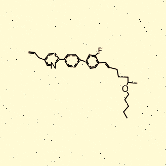 C=CCc1ccc(-c2ccc(-c3ccc(/C=C/CCCC(C)OCCCCC)c(F)c3)cc2)nc1